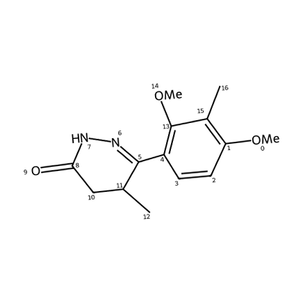 COc1ccc(C2=NNC(=O)CC2C)c(OC)c1C